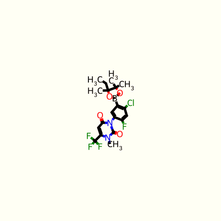 CCC1(C)OB(c2cc(-n3c(=O)cc(C(F)(F)F)n(C)c3=O)c(F)cc2Cl)OC1(C)C